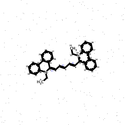 CCN1/C(=C/C=C/C=C/c2c3ccccc3c3ccccc3[n+]2CC)c2ccccc2-c2ccccc21